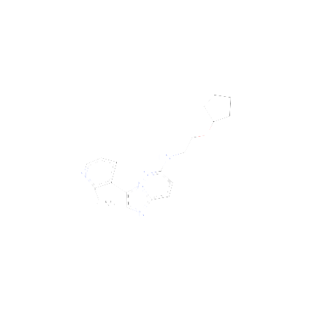 COc1ncccc1-c1cnc2ccc(NCCOC3CCCC3)nn12